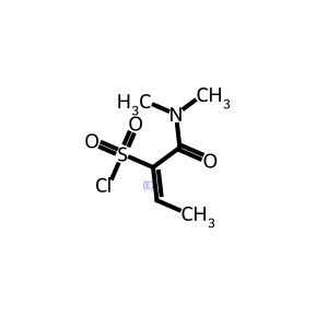 C/C=C(\C(=O)N(C)C)S(=O)(=O)Cl